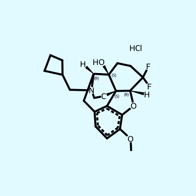 COc1ccc2c3c1O[C@H]1C(F)(F)CC[C@@]4(O)[C@@H](C2)N(CC2CCC2)CC[C@]314.Cl